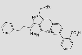 CC(C)(C)Cc1nc2c(CCc3ccccc3)nnc(O)c2n1Cc1ccc(-c2ccccc2C(=O)O)cc1